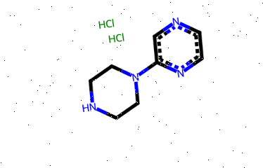 Cl.Cl.c1cnc(N2CCNCC2)cn1